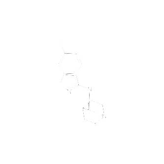 Fc1ccc2c(NC3CN4CCC3CC4)noc2c1